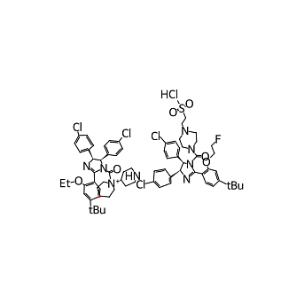 CC(C)(C)c1ccc(C2=N[C@@H](c3ccc(Cl)cc3)[C@@H](c3ccc(Cl)cc3)N2C(=O)N2CCN(CCS(C)(=O)=O)CC2)c(OCCF)c1.CCOc1cc(C(C)(C)C)ccc1C1=N[C@@H](c2ccc(Cl)cc2)[C@@H](c2ccc(Cl)cc2)N1C(=O)[N+]1(C2CCNCC2)CCCCC1.Cl